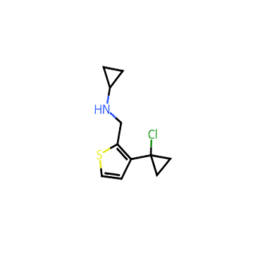 ClC1(c2ccsc2CNC2CC2)CC1